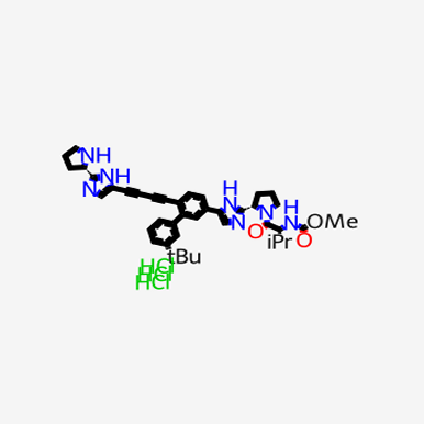 COC(=O)N[C@H](C(=O)N1CCC[C@H]1c1ncc(-c2ccc(C#CC#Cc3cnc([C@@H]4CCCN4)[nH]3)c(-c3cccc(C(C)(C)C)c3)c2)[nH]1)C(C)C.Cl.Cl.Cl